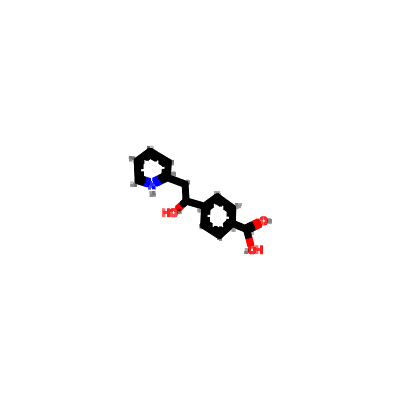 O=C(O)c1ccc(C(O)Cc2ccccn2)cc1